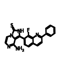 Nc1nccn2c(=S)[nH]c(-c3ccc4ccc(-c5ccccc5)nc4c3F)c12